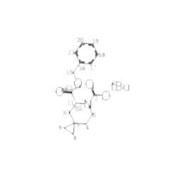 CC(C)(C)OC(=O)N1CCC2(CC2)C[C@H]1C(=O)OCc1ccccc1